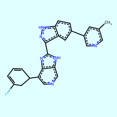 Cc1cncc(-c2ccc3[nH]nc(-c4nc5c(C6C=CC=C(F)C6)cncc5[nH]4)c3c2)c1